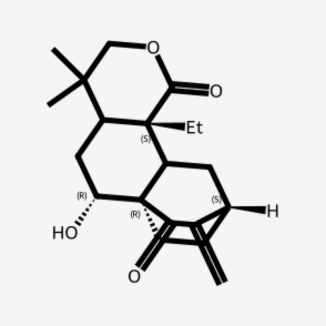 C=C1C(=O)[C@]23CC[C@H]1CC2[C@@]1(CC)C(=O)OCC(C)(C)C1C[C@H]3O